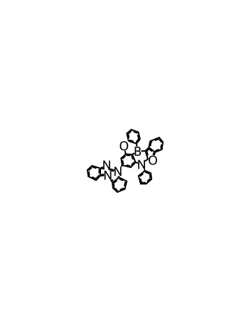 c1ccc(N2c3cc(-n4c5ccccc5n5c6ccccc6nc45)cc4c3B(c3ccccc3O4)c3c2oc2ccccc32)cc1